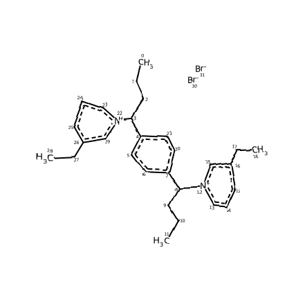 CCCC(c1ccc(C(CCC)[n+]2cccc(CC)c2)cc1)[n+]1cccc(CC)c1.[Br-].[Br-]